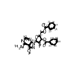 COc1nn([C@H]2O[C@@H](COC(=O)c3ccccc3)[C@H](OC(=O)c3ccccc3)[C@@H]2F)c2ncnc(N)c12